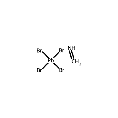 C=N.[Br][Pb]([Br])([Br])[Br]